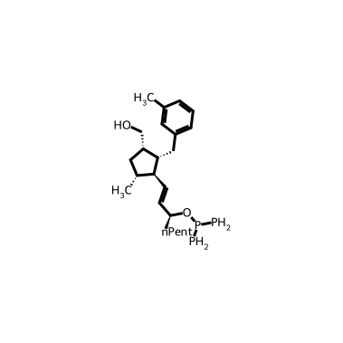 CCCCC[C@@H](/C=C/[C@@H]1[C@@H](Cc2cccc(C)c2)[C@@H](CO)C[C@H]1C)OP(P)P